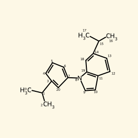 CC(C)c1cccc(-n2ccc3ccc(C(C)C)cc32)c1